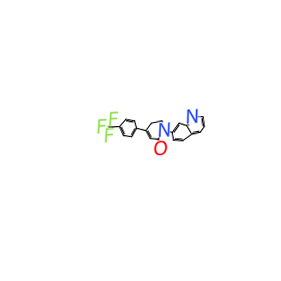 O=C1C=C(c2ccc(C(F)(F)F)cc2)CCN1c1ccc2cccnc2c1